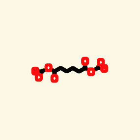 O=C(CCCCC(=O)OC1OO1)OC1OO1